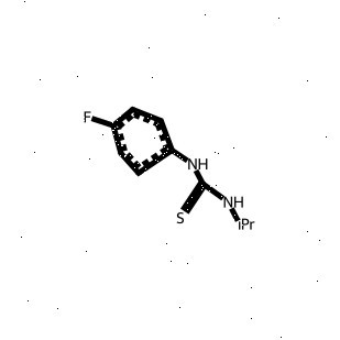 CC(C)NC(=S)Nc1ccc(F)cc1